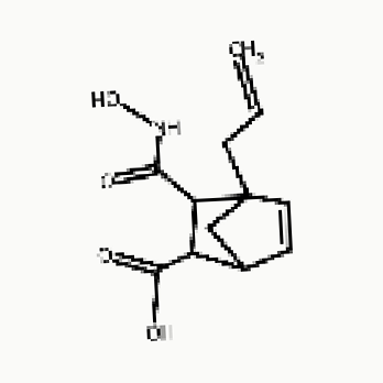 C=CCC12C=CC(C1)C(C(=O)O)C2C(=O)NO